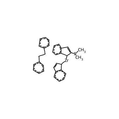 CP(C)C1=Cc2ccccc2[CH]1[Zr][CH]1C=Cc2ccccc21.c1ccc(CCc2ccccc2)cc1